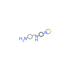 NC1CCC(CNc2ccc(N3CCSCC3)cc2)CC1